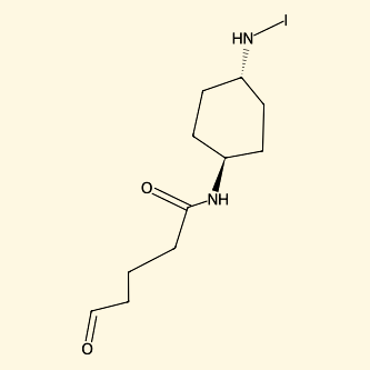 O=CCCCC(=O)N[C@H]1CC[C@H](NI)CC1